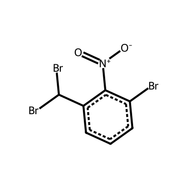 O=[N+]([O-])c1c(Br)cccc1C(Br)Br